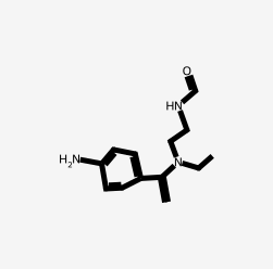 C=C(c1ccc(N)cc1)N(CC)CCNC=O